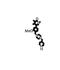 COc1cc(-c2cn(C)c(=O)c(C)c2C)ccc1CN1CCN(CC2CCNCC2)CC1